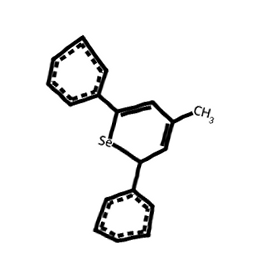 CC1=CC(c2ccccc2)[Se]C(c2ccccc2)=C1